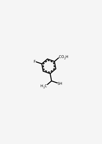 CC(S)c1cc(F)cc(C(=O)O)c1